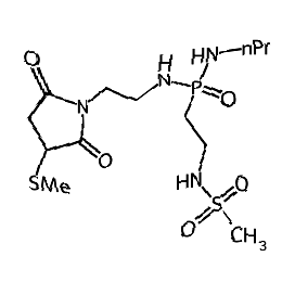 CCCNP(=O)(CCNS(C)(=O)=O)NCCN1C(=O)CC(SC)C1=O